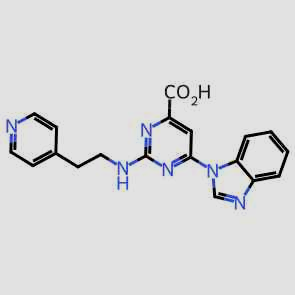 O=C(O)c1cc(-n2cnc3ccccc32)nc(NCCc2ccncc2)n1